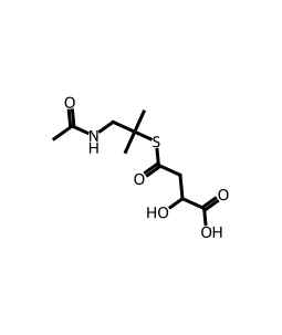 CC(=O)NCC(C)(C)SC(=O)CC(O)C(=O)O